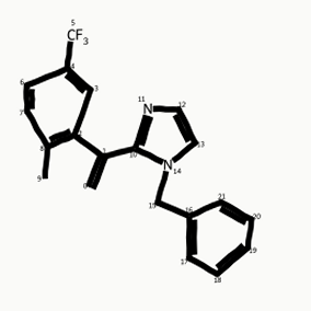 C=C(c1cc(C(F)(F)F)ccc1C)c1nccn1Cc1ccccc1